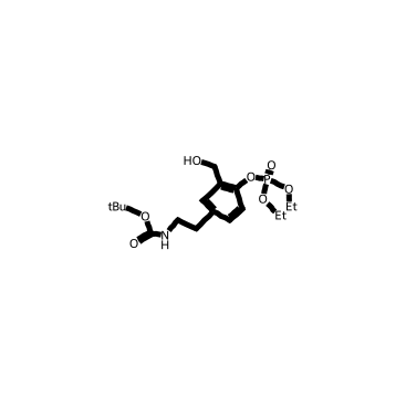 CCOP(=O)(OCC)Oc1ccc(CCNC(=O)OC(C)(C)C)cc1CO